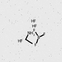 CCN.F.F.F.FB(F)F